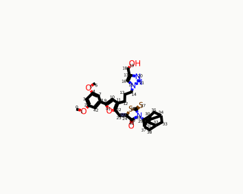 COc1cc(OC)cc(-c2cc(CCCn3cc(CO)nn3)c(/C=C3\SC(=S)N(C4C5CC6CC(C5)CC4C6)C3=O)o2)c1